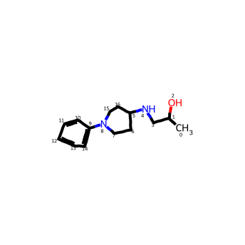 CC(O)CNC1CCN(c2[c]cccc2)CC1